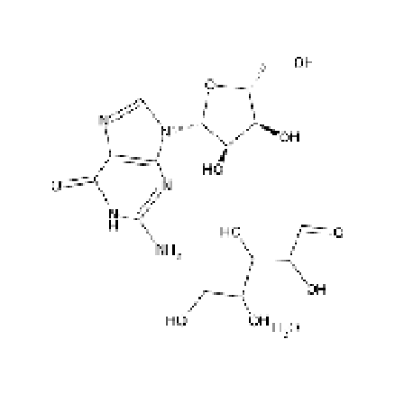 Nc1nc2c(ncn2[C@@H]2O[C@H](CO)[C@@H](O)[C@H]2O)c(=O)[nH]1.O.O=CC(O)C(O)C(O)CO